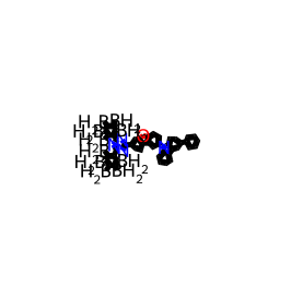 Bc1c(B)c(B)c(-c2nc(-c3ccc4c(c3)oc3ccc(-n5c6ccccc6c6cc(-c7ccccc7)ccc65)cc34)nc(-c3c(B)c(B)c(B)c(B)c3B)n2)c(B)c1B